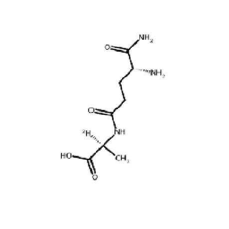 [2H][C@@](C)(NC(=O)CC[C@@H](N)C(N)=O)C(=O)O